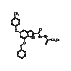 CCOC(=O)C(=O)NNC(=O)c1cc2cc(Oc3ccc(C)cc3)cc(OCc3ccccc3)c2[nH]1